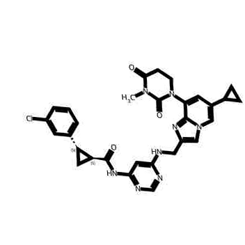 CN1C(=O)CCN(c2cc(C3CC3)cn3cc(CNc4cc(NC(=O)[C@H]5C[C@@H]5c5cccc(Cl)c5)ncn4)nc23)C1=O